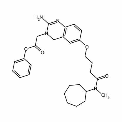 CN(C(=O)CCCOc1ccc2c(c1)CN(CC(=O)Oc1ccccc1)C(N)=N2)C1CCCCCC1